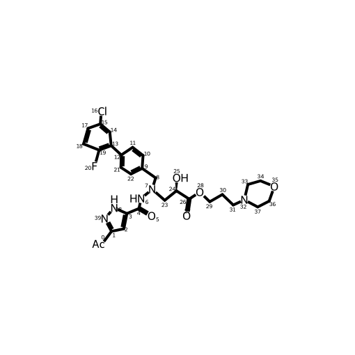 CC(=O)c1cc(C(=O)NN(Cc2ccc(-c3cc(Cl)ccc3F)cc2)C[C@@H](O)C(=O)OCCCN2CCOCC2)[nH]n1